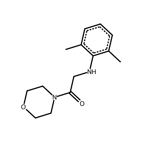 Cc1cccc(C)c1NCC(=O)N1CCOCC1